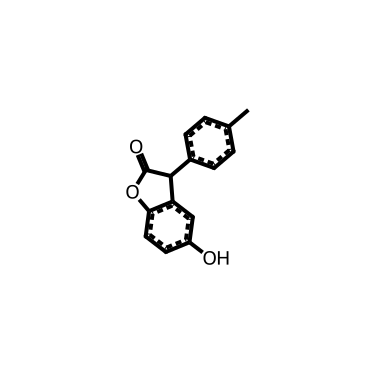 Cc1ccc(C2C(=O)Oc3ccc(O)cc32)cc1